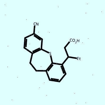 CCC(CC(=O)O)c1cccc2c1Sc1cc(C#N)ccc1CC2